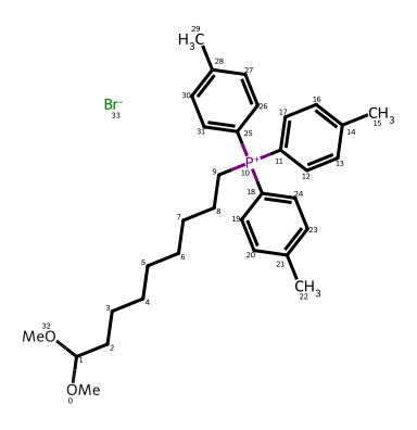 COC(CCCCCCCC[P+](c1ccc(C)cc1)(c1ccc(C)cc1)c1ccc(C)cc1)OC.[Br-]